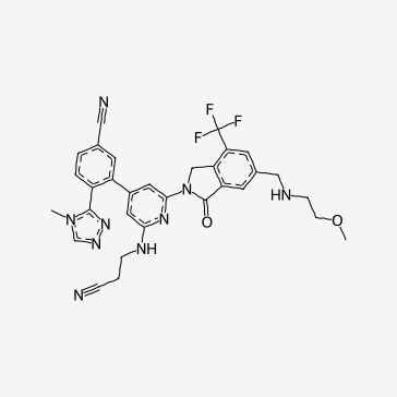 COCCNCc1cc2c(c(C(F)(F)F)c1)CN(c1cc(-c3cc(C#N)ccc3-c3nncn3C)cc(NCCC#N)n1)C2=O